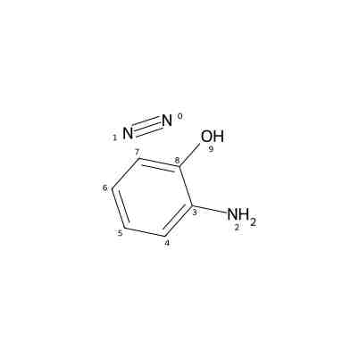 N#N.Nc1ccccc1O